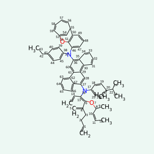 C=CCCC(=C)/C(OC(C)/C=C\C)=C(\C=C)N(C(/C=C\C(=C)C(C)C)=C/C)c1cc2c3ccccc3c(N(c3ccc(CC)cc3)c3cccc4c3OC3=CC4C=CC=C3)cc2c2ccccc12